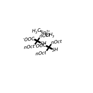 CCCCCCCCC(S)(CCCCCCCC)C(=O)[O-].CCCCCCCCC(S)(CCCCCCCC)C(=O)[O-].[CH3][Sn+2][CH3]